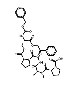 C[C@H](NC(=O)[C@H](C)N(C)C(=O)[C@@H]1CCCN1C(=O)O)C(=O)N1CCC[C@H]1C(=O)OC[C@H](NC(=O)OCc1ccccc1)C(=O)OCC(=O)c1ccccc1